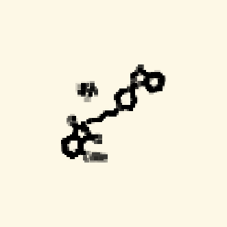 COc1cccc2c1C(=O)N(CCCCN1CCN(N3CSc4ccccc43)CC1)C2=O.Cl.O